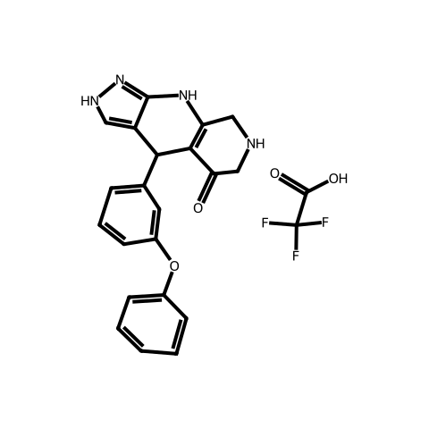 O=C(O)C(F)(F)F.O=C1CNCC2=C1C(c1cccc(Oc3ccccc3)c1)c1c[nH]nc1N2